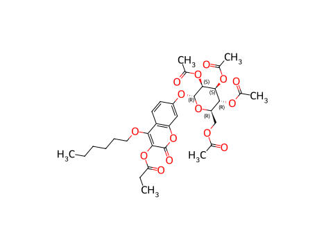 CCCCCCOc1c(OC(=O)CC)c(=O)oc2cc(O[C@H]3O[C@H](COC(C)=O)[C@@H](OC(C)=O)[C@H](OC(C)=O)[C@@H]3OC(C)=O)ccc12